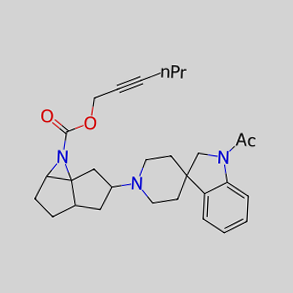 CCCC#CCOC(=O)N1C2CCC3CC(N4CCC5(CC4)CN(C(C)=O)c4ccccc45)CC321